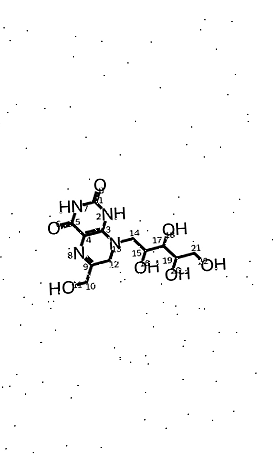 O=c1[nH]c2c(c(=O)[nH]1)N=C(CO)CN2CC(O)C(O)C(O)CO